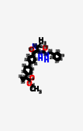 CCOC(=O)C1(c2ccc(-c3ccc(-c4onc(C)c4NC(=O)NCc4ccccc4)cc3)cc2)CC1